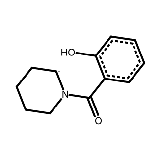 O=C(c1ccccc1O)N1[CH]CCCC1